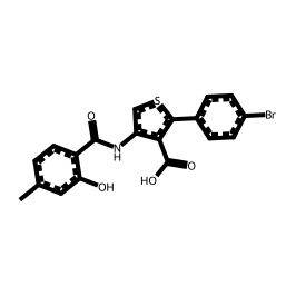 Cc1ccc(C(=O)Nc2csc(-c3ccc(Br)cc3)c2C(=O)O)c(O)c1